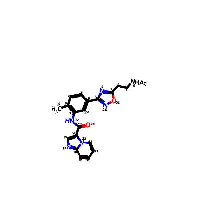 CC(=O)NCCc1nc(-c2ccc(C)c(NC(=O)c3cnc4ccccn34)c2)no1